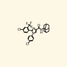 O=C(NC12CC3CC(CC(C3)C1)C2)c1cn(-c2ccc(Cl)cc2)c(-c2ccc(Cl)cc2C(F)(F)F)n1